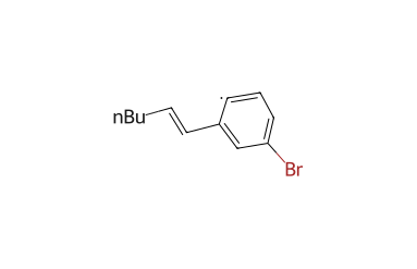 CCCC/C=C/c1[c]ccc(Br)c1